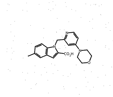 Cc1ccc2c(c1)cc(C(=O)O)n2Cc1cc(N2CCOCC2)ccn1